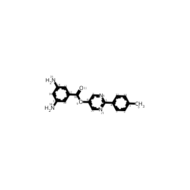 Cc1ccc(-c2ncc(OC(=O)c3cc(N)cc(N)c3)cn2)cc1